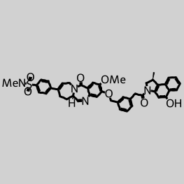 CNS(=O)(=O)c1ccc(C2=CCN3C(=O)c4cc(OC)c(OCc5cccc(CC(=O)N6C[C@@H](C)c7c6cc(O)c6ccccc76)c5)cc4N=C[C@H]3CC2)cc1